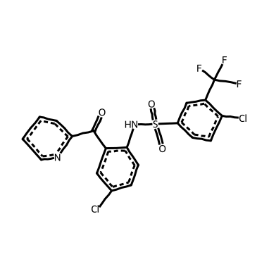 O=C(c1ccccn1)c1cc(Cl)ccc1NS(=O)(=O)c1ccc(Cl)c(C(F)(F)F)c1